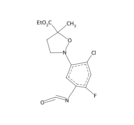 CCOC(=O)C1(C)CCN(c2cc(N=C=O)c(F)cc2Cl)O1